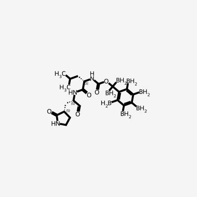 Bc1c(B)c(B)c(C(B)(B)OC(=O)N[C@@H](CC(C)C)C(=O)N[C@H](C=O)C[C@@H]2CCNC2=O)c(B)c1B